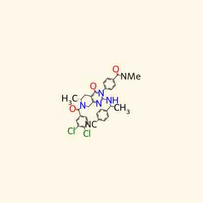 CNC(=O)c1ccc(-n2c(NC(C)c3ccc(C#N)cc3)nc3c(c2=O)C[C@@H](C)N(C(=O)c2ccc(Cl)c(Cl)c2)C3)cc1